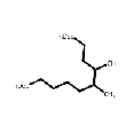 CCCCCCCCCCCCCCC(C)C(C)CCCCCCCCCCCC